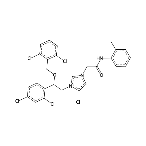 Cc1ccccc1NC(=O)Cn1cc[n+](CC(OCc2c(Cl)cccc2Cl)c2ccc(Cl)cc2Cl)c1.[Cl-]